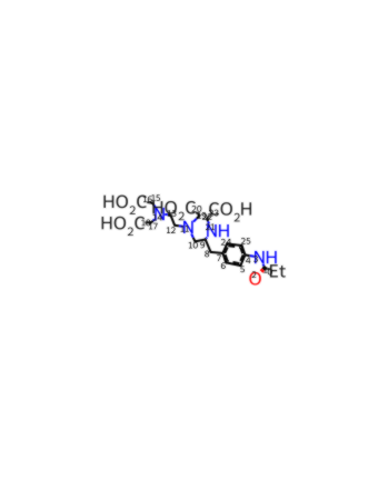 CCC(=O)Nc1ccc(CC(CN(CCN(CC(=O)O)CC(=O)O)CC(=O)O)NCC(=O)O)cc1